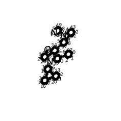 c1ccc(-c2ccc(N(c3ccc4c5ccccc5c5ccccc5c4c3)c3cccc4oc5cc(-c6ccc7c8ccccc8n(-c8cccnc8)c7c6)ccc5c34)cc2)cc1